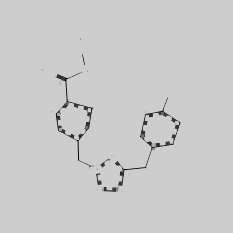 O=C(O)c1ccc(Cc2nnn(Cc3ccc(C(=O)NO)cc3)n2)cc1